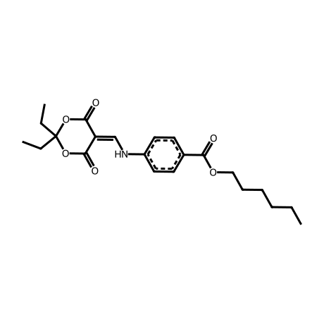 CCCCCCOC(=O)c1ccc(NC=C2C(=O)OC(CC)(CC)OC2=O)cc1